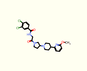 COc1cccc(C2CCN(C3CCN(C(=O)CNC(=O)c4ccc(Cl)c(Cl)c4)C3)CC2)n1